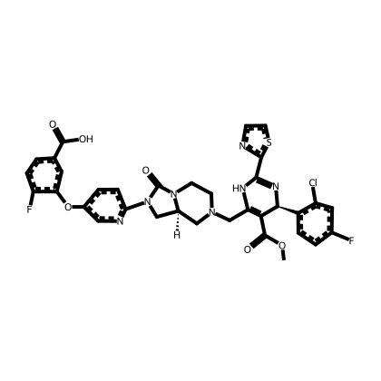 COC(=O)C1=C(CN2CCN3C(=O)N(c4ccc(Oc5cc(C(=O)O)ccc5F)cn4)C[C@@H]3C2)NC(c2nccs2)=N[C@H]1c1ccc(F)cc1Cl